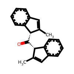 CC1=Cc2ccccc2[C@H]1C(=O)[C@H]1C(C)=Cc2ccccc21